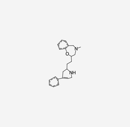 CN1Cc2ccccc2OC(CCC2CC(c3ccccc3)=CCN2)C1